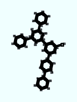 Clc1cc(-c2ccc(-c3ccccc3)nc2)cc(-c2nc(-c3ccccc3)nc(-c3ccccc3)n2)c1